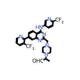 CC(C=O)N1CCN(Cc2nc(Nc3ccc(C(F)(F)F)nc3)c3ccc(-c4ncccc4C(F)(F)F)cc3n2)CC1